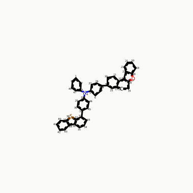 c1ccc(N(c2ccc(-c3ccc4c(ccc5oc6ccccc6c54)c3)cc2)c2ccc(-c3cccc4c3sc3ccccc34)cc2)cc1